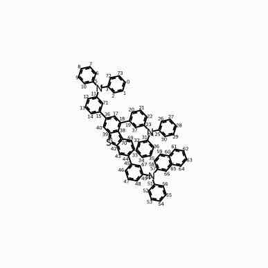 c1ccc(N(c2ccccc2)c2cccc(-c3cc(-c4cccc(N(c5ccccc5)c5ccccc5)c4)c4c(c3)sc3cc(-c5cccc(N(c6ccccc6)c6ccc7ccccc7c6)c5)ccc34)c2)cc1